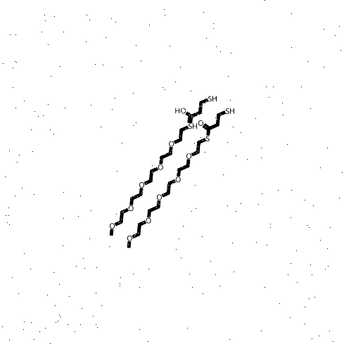 COCCOCCOCCOCCOCCSC(=O)CCS.COCCOCCOCCOCCOCC[SH]=C(O)CCS